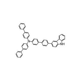 c1ccc(-c2ccc(N(c3ccc(-c4ccccc4)cc3)c3ccc(-c4ccc(-c5ccc6[nH]c7ccccc7c6c5)cc4)cc3)cc2)cc1